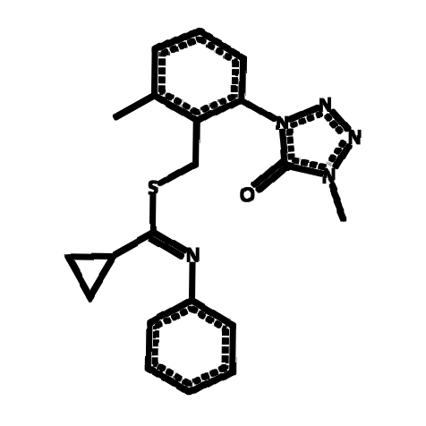 Cc1cccc(-n2nnn(C)c2=O)c1CS/C(=N/c1ccccc1)C1CC1